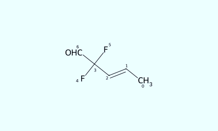 CC=CC(F)(F)C=O